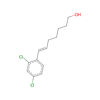 OCCCCCC=Cc1ccc(Cl)cc1Cl